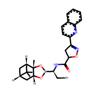 CC(C)C[C@H](NC(=O)C1CC(c2ccc3ccccc3n2)=NO1)B1O[C@@H]2C[C@@H]3C[C@@H](C3(C)C)[C@]2(C)O1